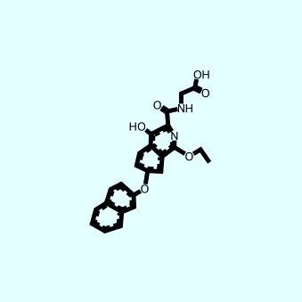 CCOc1nc(C(=O)NCC(=O)O)c(O)c2ccc(Oc3ccc4ccccc4c3)cc12